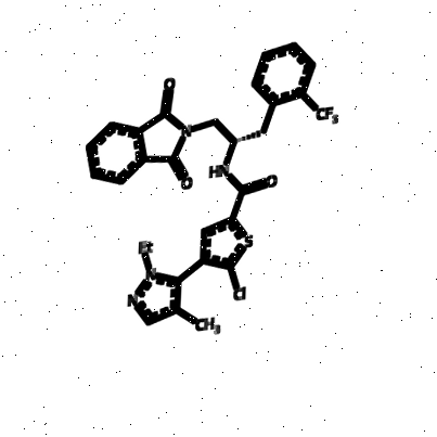 CCn1ncc(C)c1-c1cc(C(=O)N[C@@H](Cc2ccccc2C(F)(F)F)CN2C(=O)c3ccccc3C2=O)sc1Cl